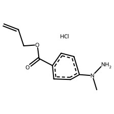 C=CCOC(=O)c1ccc(N(C)N)cc1.Cl